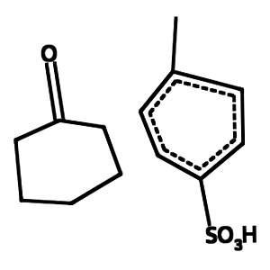 Cc1ccc(S(=O)(=O)O)cc1.O=C1CCCCC1